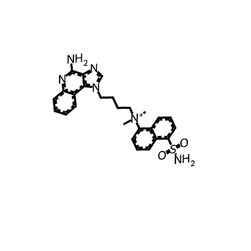 C[N+](C)(CCCCn1cnc2c(N)nc3ccccc3c21)c1cccc2c(S(N)(=O)=O)cccc12